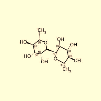 C[C@@H]1O[C@@H]([C]2O[C@@H](C)[C@H](O)[C@@H](O)[C@H]2O)[C@H](O)[C@H](O)[C@H]1O